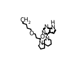 C=CCCCOCCC(=O)N1CCCC12CCCN(c1ncnc3[nH]ccc13)C2